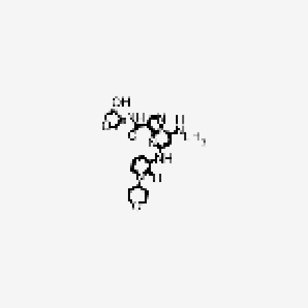 CNc1cc(Nc2cccn(C3CCOCC3)c2=O)nc2c(C(=O)N[C@@H]3COC[C@@H]3O)cnn12